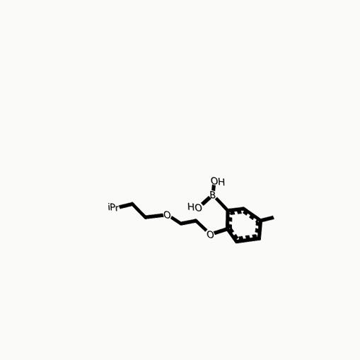 Cc1ccc(OCCOCCC(C)C)c(B(O)O)c1